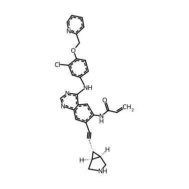 C=CC(=O)Nc1cc2c(Nc3ccc(OCc4ccccn4)c(Cl)c3)ncnc2cc1C#C[C@@H]1[C@H]2CNC[C@@H]12